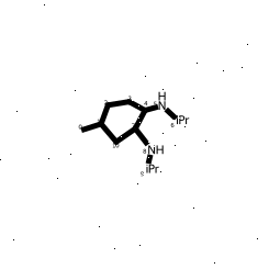 CC1CCC(NC(C)C)C(NC(C)C)C1